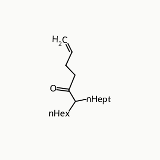 C=CCCC(=O)C(CCCCCC)CCCCCCC